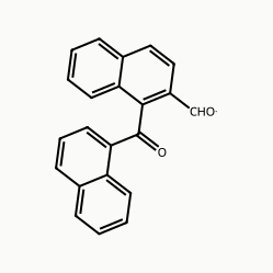 O=[C]c1ccc2ccccc2c1C(=O)c1cccc2ccccc12